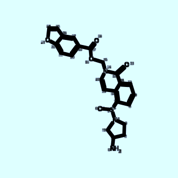 NC1CCN([S+]([O-])c2cccc3c(=O)n(COC(=O)c4ccc5occc5c4)ccc23)C1